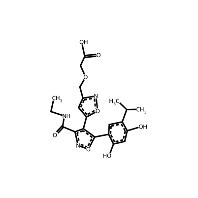 CCNC(=O)c1noc(-c2cc(C(C)C)c(O)cc2O)c1-c1cc(COCC(=O)O)no1